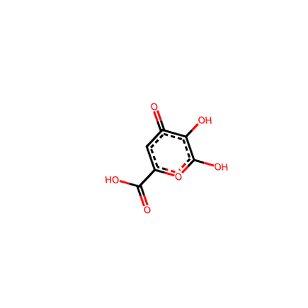 O=C(O)c1cc(=O)c(O)c(O)o1